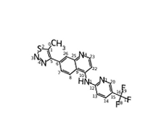 Cc1snnc1-c1ccc2c(Nc3ccc(C(F)(F)F)cn3)ccnc2c1